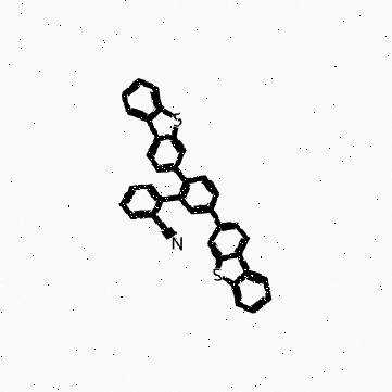 N#Cc1ccccc1-c1cc(-c2ccc3c(c2)sc2ccccc23)ccc1-c1ccc2c(c1)sc1ccccc12